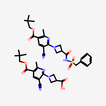 Cc1nc(N2CC(C(=O)NS(=O)(=O)Cc3ccccc3)C2)c(C#N)cc1C(=O)OCC(C)(C)C.Cc1nc(N2CC(C(=O)O)C2)c(C#N)cc1C(=O)OCC(C)(C)C